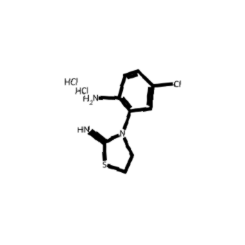 Cl.Cl.N=C1SCCN1c1cc(Cl)ccc1N